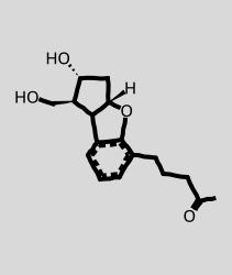 CC(=O)CCCc1cccc2c1O[C@H]1C[C@@H](O)[C@H](CO)C21